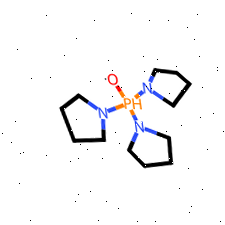 [O][PH](N1CCCC1)(N1CCCC1)N1CCCC1